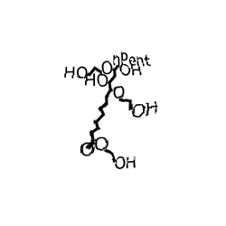 CCCCCC(O)C(CC(O)C(CCCCCCCC(=O)OCCCO)OCCCO)OCCCO